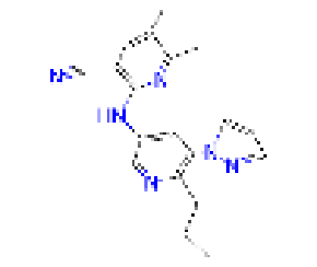 CCCc1ncc(Nc2nc(C)c(C)cc2C#N)cc1-n1cccn1